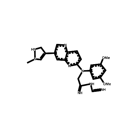 COc1cc(OC)cc(N(CC(=N)NC=N)c2ccc3ncc(C4=CN(C)NC4)cc3n2)c1